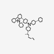 C=C/C=C\C=C(/C)c1ccc(N(c2ccc(-c3ccccc3)cc2)c2ccc(-c3cccc4c5ccccc5n(-c5ccccc5)c34)cc2)cc1